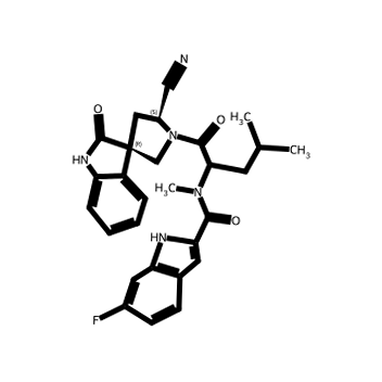 CC(C)CC(C(=O)N1C[C@]2(C[C@H]1C#N)C(=O)Nc1ccccc12)N(C)C(=O)c1cc2ccc(F)cc2[nH]1